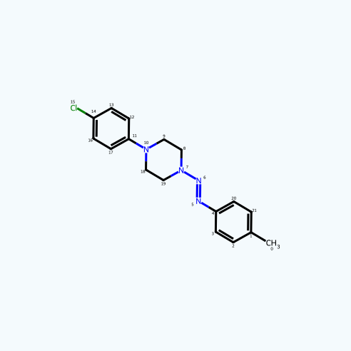 Cc1ccc(/N=N/N2CCN(c3ccc(Cl)cc3)CC2)cc1